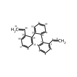 C=Cc1ccccc1-c1ccccc1-c1ccccc1C=C